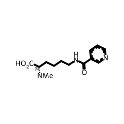 CN[C@@H](CCCCNC(=O)c1cccnc1)C(=O)O